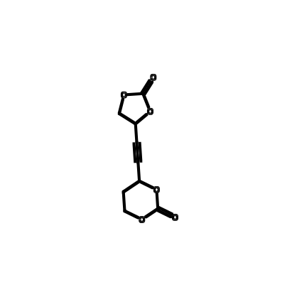 O=C1OCCC(C#CC2COC(=O)O2)O1